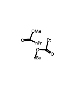 CCCC(=O)OC.CCCCOC(=O)CC